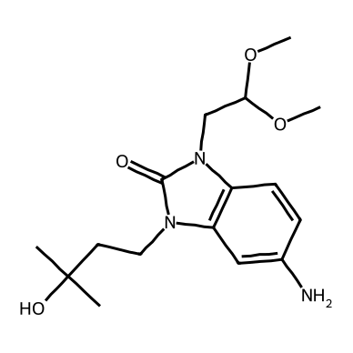 COC(Cn1c(=O)n(CCC(C)(C)O)c2cc(N)ccc21)OC